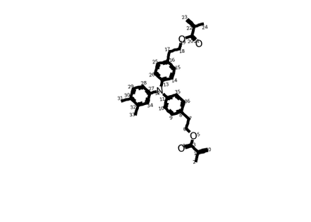 C=C(C)C(=O)OCCc1ccc(N(c2ccc(CCOC(=O)C(=C)C)cc2)c2ccc(C)c(C)c2)cc1